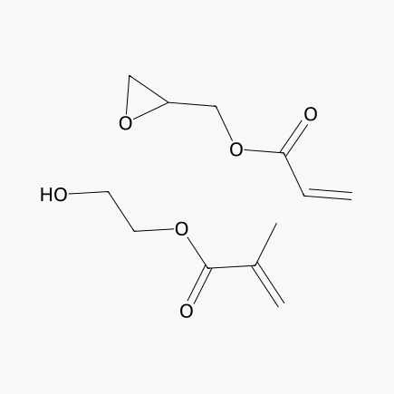 C=C(C)C(=O)OCCO.C=CC(=O)OCC1CO1